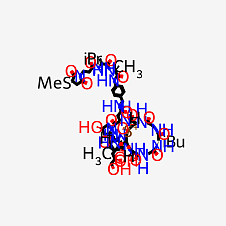 CC[C@H](C)[C@@H]1NC(=O)CNC(=O)[C@H]2Cc3c([nH]c4ccccc34)[S+]([O-])C[C@H](NC(=O)CNC1=O)C(=O)NC(CC(=O)NCc1ccc(NC(=O)[C@H](C)NC(=O)C(NC(=O)CCN3C(=O)CC(SC)C3=O)C(C)C)cc1)C(=O)N1C[C@H](O)C[C@H]1C(=O)N[C@@H]([C@@H](C)[C@@H](O)CO)C(=O)N2